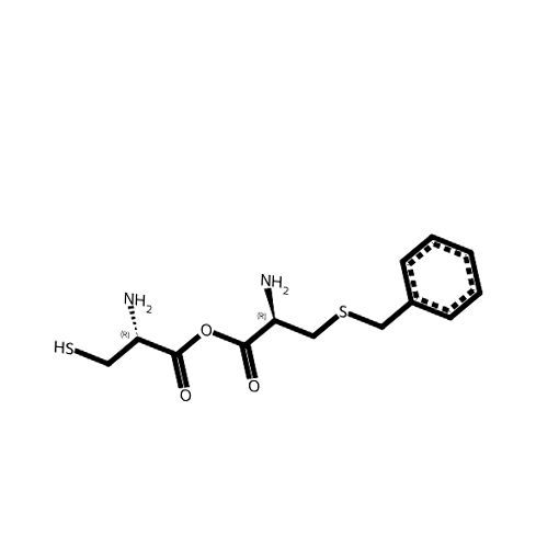 N[C@@H](CS)C(=O)OC(=O)[C@@H](N)CSCc1ccccc1